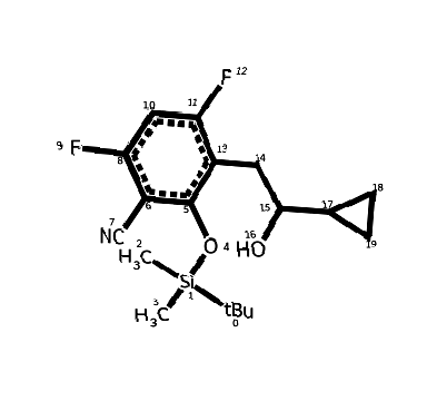 CC(C)(C)[Si](C)(C)Oc1c(C#N)c(F)cc(F)c1CC(O)C1CC1